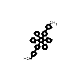 Cc1ccc(-c2ccc(-c3c(-c4ccccc4)c(-c4ccccc4)c(-c4ccc(-c5ccc(CO)cc5)cc4)c(-c4ccccc4)c3-c3ccccc3)cc2)cc1